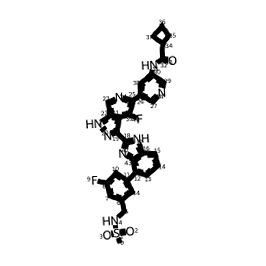 CS(=O)(=O)NCc1cc(F)cc(-c2cccc3[nH]c(-c4n[nH]c5cnc(-c6cncc(NC(=O)C7CCC7)c6)c(F)c45)nc23)c1